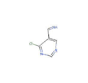 N=Cc1cncnc1Cl